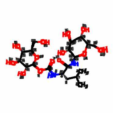 CC(C)C[C@H](NC(=O)OC1O[C@H](CO)[C@@H](O)[C@H](O)[C@H]1O)C(=O)N[C@@H]1O[C@H](CO)[C@@H](O)[C@H](O)[C@H]1O